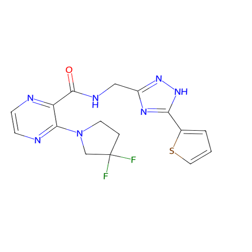 O=C(NCc1n[nH]c(-c2cccs2)n1)c1nccnc1N1CCC(F)(F)C1